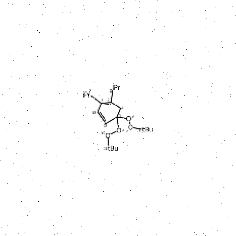 CC(C)C1=C(C(C)C)CC(OOC(C)(C)C)(OOC(C)(C)C)C=C1